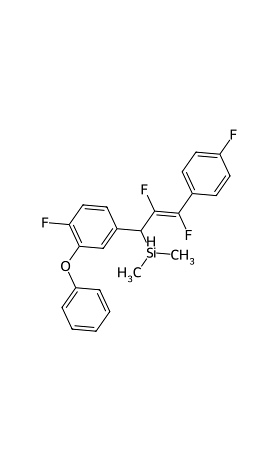 C[SiH](C)C(C(F)=C(F)c1ccc(F)cc1)c1ccc(F)c(Oc2ccccc2)c1